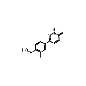 C=C1C=CC(c2ccc(CO)c(C)c2)=NN1